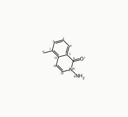 Cc1cccc2c(=O)n(N)ccc12